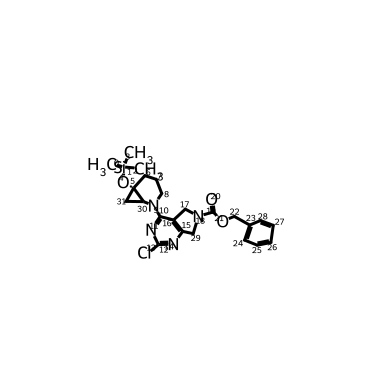 C[Si](C)(C)O[C@]12CCCN(c3nc(Cl)nc4c3CN(C(=O)OCc3ccccc3)C4)C1C2